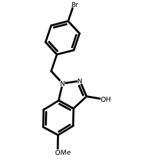 COc1ccc2c(c1)c(O)nn2Cc1ccc(Br)cc1